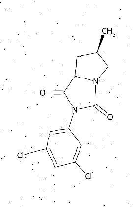 C[C@@H]1CC2C(=O)N(c3cc(Cl)cc(Cl)c3)C(=O)N2C1